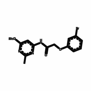 COc1cc(NC(=O)COc2cccc(Br)c2)nc(C)n1